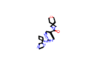 O=C(c1cnc(NC2(c3cnccn3)CCC2)nc1)N1CC2(CCOCC2)C1